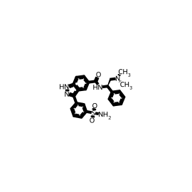 CN(C)C[C@H](NC(=O)c1ccc2[nH]nc(-c3cccc(S(N)(=O)=O)c3)c2c1)c1ccccc1